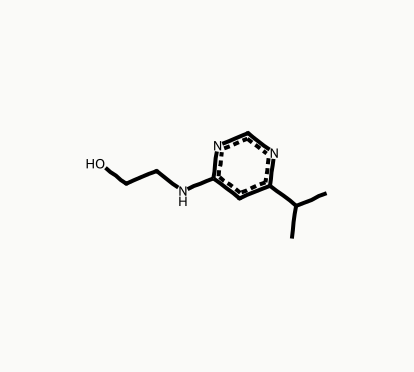 CC(C)c1cc(NCCO)ncn1